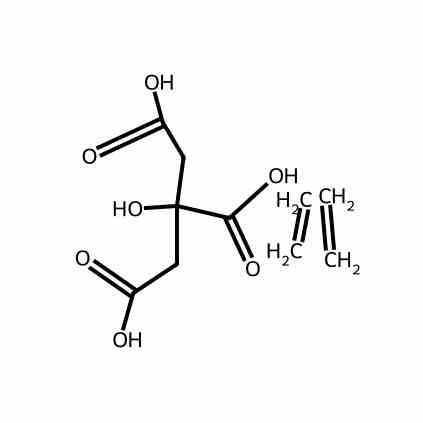 C=C.C=C.O=C(O)CC(O)(CC(=O)O)C(=O)O